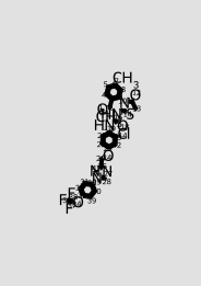 COCc1ccc(C)cc1N1C(=O)CSC1NC(=O)Nc1ccc(OCc2ncn(-c3ccc(OC(F)(F)F)cc3)n2)cc1Cl